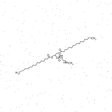 CCCCCCCCCCCCCCCC(=O)OCC(COC(=O)CCCCCCCCCCCCCCC)OP(=O)(O)OCCNC